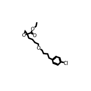 CCOC(=O)C1(CCCCOCCCCc2ccc(Cl)cc2)CO1